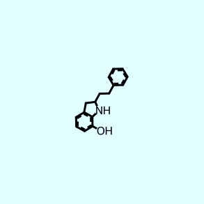 Oc1cccc2c1NC(CCc1ccccc1)C2